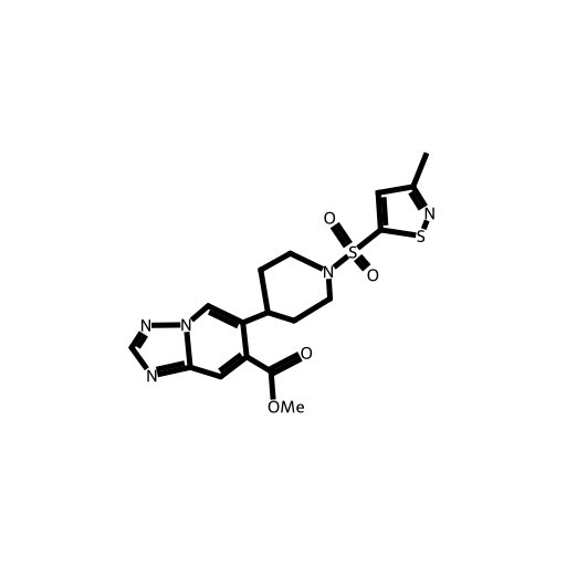 COC(=O)c1cc2ncnn2cc1C1CCN(S(=O)(=O)c2cc(C)ns2)CC1